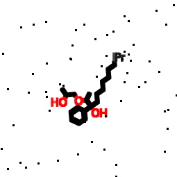 CC(C)CCCCCCCC(O)(c1ccccc1)C(C)OCC(C)O